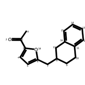 CC(=O)c1ccc(CC2CCc3ccccc3C2)o1